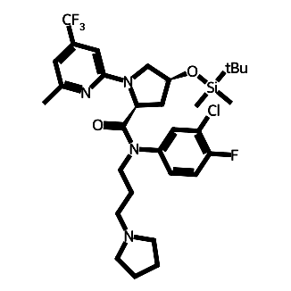 Cc1cc(C(F)(F)F)cc(N2C[C@@H](O[Si](C)(C)C(C)(C)C)C[C@H]2C(=O)N(CCCN2CCCC2)c2ccc(F)c(Cl)c2)n1